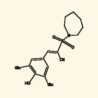 CC(C)(C)c1cc(C=C(C#N)S(=O)(=O)N2CCCCCC2)cc(C(C)(C)C)c1O